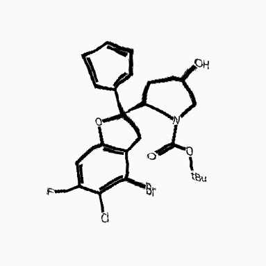 CC(C)(C)OC(=O)N1CC(O)CC1[C@@]1(c2ccccc2)Cc2c(cc(F)c(Cl)c2Br)O1